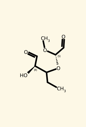 CCC(O[C@@H](C=O)OC)[C@@H](O)C=O